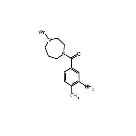 CCCN1CCCN(C(=O)c2ccc(C)c(N)c2)CC1